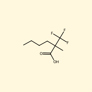 CCCCC(C)(C(=O)O)C(F)(F)F